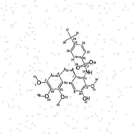 COc1cc(/C=C\c2ccc(O)c(OC)c2NS(=O)(=O)c2ccc(C(C)(C)C)cc2)cc(OC)c1OC